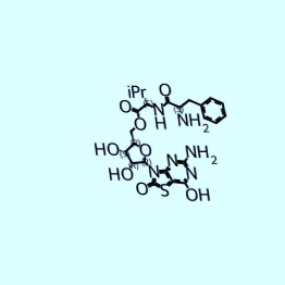 CC(C)[C@H](NC(=O)[C@@H](N)Cc1ccccc1)C(=O)OC[C@H]1O[C@@H](n2c(=O)sc3c(O)nc(N)nc32)[C@H](O)[C@@H]1O